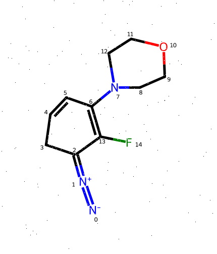 [N-]=[N+]=C1CC=CC(N2CCOCC2)=C1F